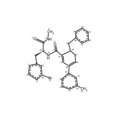 CNC(=O)[C@H](Cc1cccc(Br)c1)NC(=O)C1=CC(c2cccc(C)c2)=CCC1Cc1ccccc1